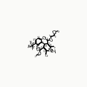 COCCOC(=O)C1=C(C)NC(C)=C(C(=O)OC)C1c1cccc(C(F)(F)F)c1F